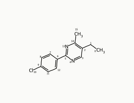 CCc1cnc(-c2ccc(Cl)cc2)nc1C